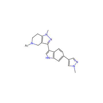 CC(=O)N1CCc2c(c(-c3c[nH]c4cc(-c5cnn(C)c5)ccc34)nn2C)C1